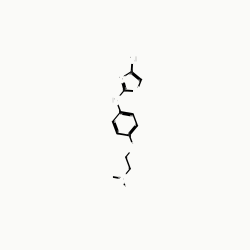 CCN(CC)CCOc1ccc(Nc2nc(N)[c]s2)cc1